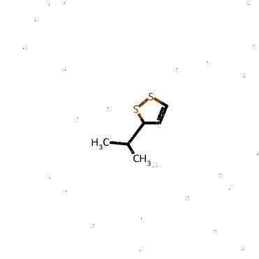 CC(C)C1C=CSS1